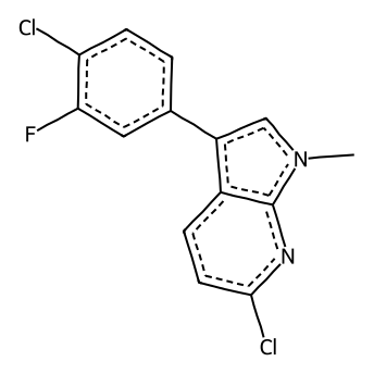 Cn1cc(-c2ccc(Cl)c(F)c2)c2ccc(Cl)nc21